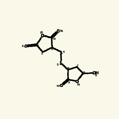 O=C1CC(SSC2CC(O)OC2=O)C(=O)O1